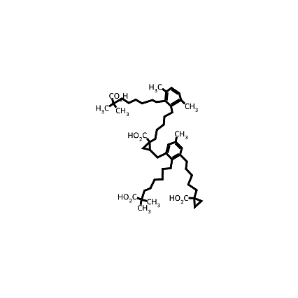 Cc1cc(CCCCCC2(C(=O)O)CC2)c(CCCCCCC(C)(C)C(=O)O)c(CC2CC2(CCCCCc2c(C)ccc(C)c2CCCCCCC(C)(C)C(=O)O)C(=O)O)c1